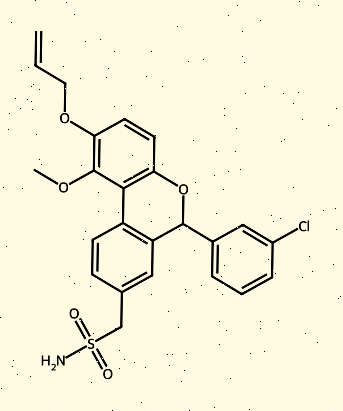 C=CCOc1ccc2c(c1OC)-c1ccc(CS(N)(=O)=O)cc1C(c1cccc(Cl)c1)O2